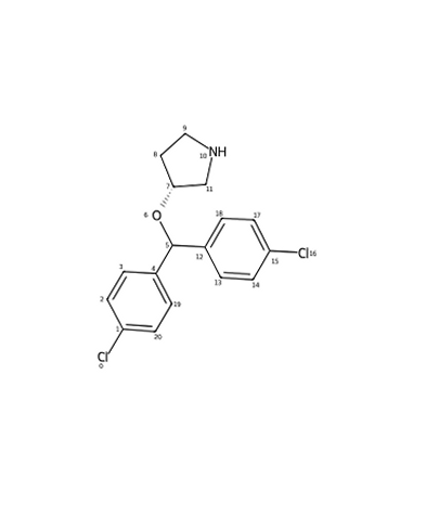 Clc1ccc(C(O[C@@H]2CCNC2)c2ccc(Cl)cc2)cc1